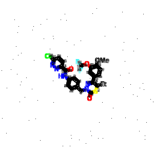 CCC1SC(=O)N(Cc2ccc(NC(=O)c3ccc(Cl)nn3)cc2)N=C1c1ccc(OC)c(OC(F)F)c1